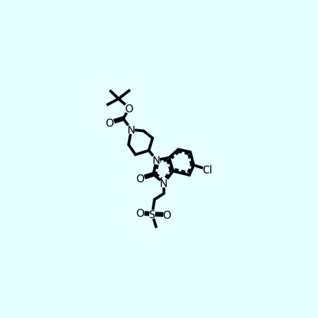 CC(C)(C)OC(=O)N1CCC(n2c(=O)n(CCS(C)(=O)=O)c3cc(Cl)ccc32)CC1